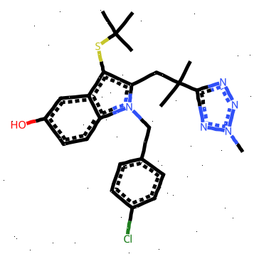 Cn1nnc(C(C)(C)Cc2c(SC(C)(C)C)c3cc(O)ccc3n2Cc2ccc(Cl)cc2)n1